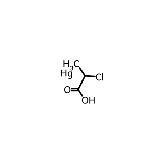 CC(Cl)C(=O)O.[Hg]